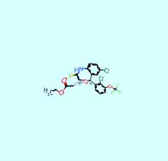 CCOC(=O)C[C@H]1O[C@H](c2cccc(OC(F)(F)F)c2Cl)c2cc(Cl)ccc2NC1=S